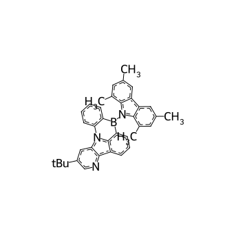 Cc1cc(C)c2c(c1)c1cc(C)cc(C)c1n2B1c2ccccc2-n2c3cc(C(C)(C)C)cnc3c3cccc1c32